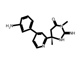 CN1C(=N)N[C@](C)(c2cc(-c3cccc(N)c3)ccn2)CC1=O